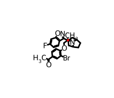 CC(=O)c1ccc(OCC(C)N2C3CCC2CC(c2noc4cc(F)ccc24)C3)c(Br)c1